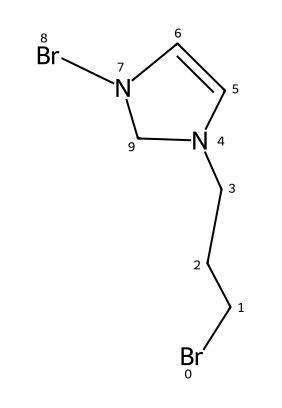 BrCCCN1C=CN(Br)C1